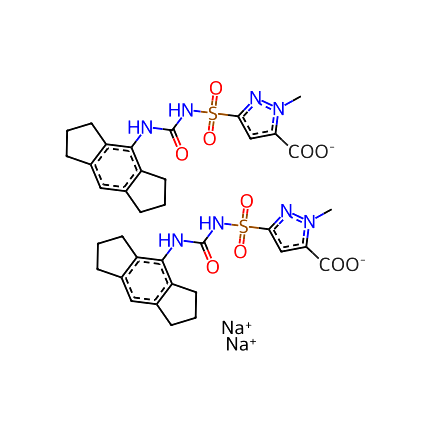 Cn1nc(S(=O)(=O)NC(=O)Nc2c3c(cc4c2CCC4)CCC3)cc1C(=O)[O-].Cn1nc(S(=O)(=O)NC(=O)Nc2c3c(cc4c2CCC4)CCC3)cc1C(=O)[O-].[Na+].[Na+]